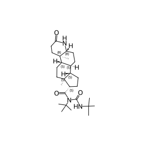 CC(C)(C)NC(=O)N(C(=O)[C@H]1CC[C@H]2[C@@H]3CC[C@H]4NC(=O)CC[C@]4(C)[C@H]3CC[C@]12C)C(C)(C)C